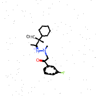 C/C(=N/N(C)CC(=O)c1cccc(F)c1)C(C)(C=O)C1CCCCC1